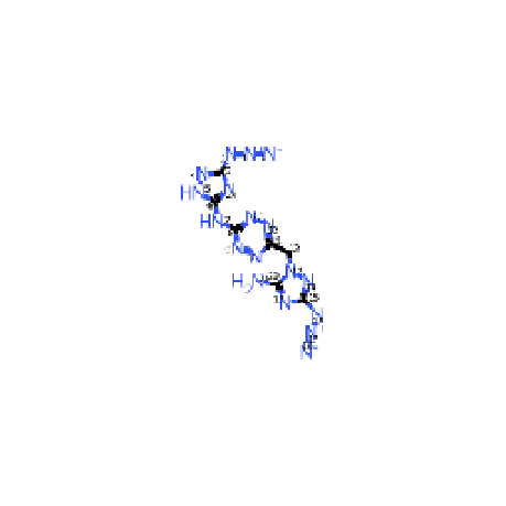 [N-]=[N+]=Nc1n[nH]c(Nc2nnc(Cn3nc(N=[N+]=[N-])nc3N)nn2)n1